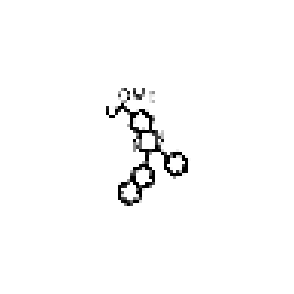 COC(=O)c1ccc2nc(-c3ccccc3)c(-c3ccc4ccccc4c3)nc2c1